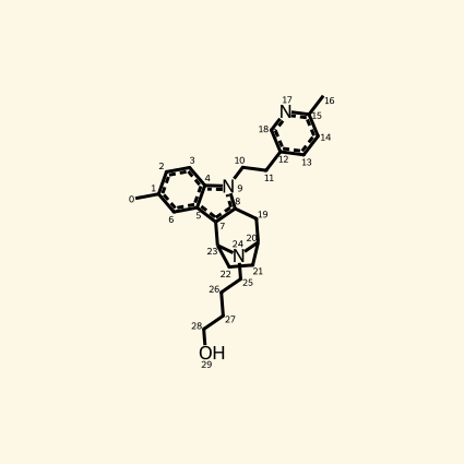 Cc1ccc2c(c1)c1c(n2CCc2ccc(C)nc2)CC2CCC1N2CCCCO